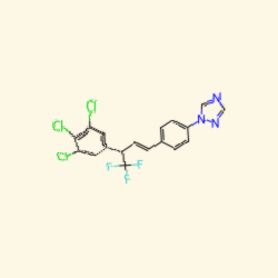 FC(F)(F)C(/C=C/c1ccc(-n2cncn2)cc1)c1cc(Cl)c(Cl)c(Cl)c1